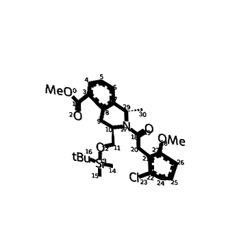 COC(=O)c1cccc2c1C[C@H](CO[Si](C)(C)C(C)(C)C)N(C(=O)Cc1c(Cl)cccc1OC)[C@H]2C